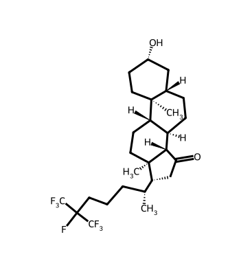 C[C@H](CCCC(F)(C(F)(F)F)C(F)(F)F)[C@H]1CC(=O)[C@H]2[C@@H]3CC[C@H]4C[C@@H](O)CC[C@]4(C)[C@H]3CC[C@]12C